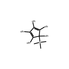 CCCC1=C(CCC)C(CCC)([Si](C)(C)C)C(CCC)=C1CCC